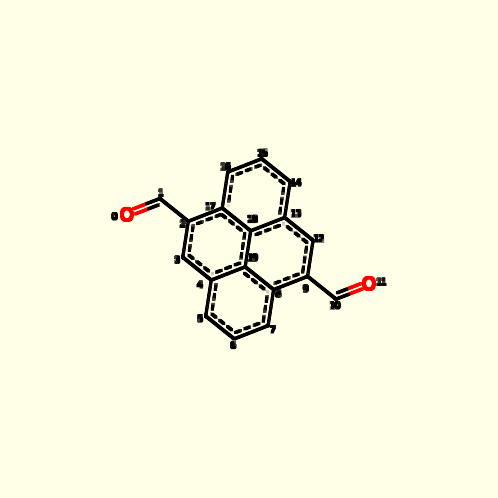 O=Cc1cc2cccc3c(C=O)cc4cccc1c4c23